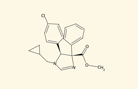 COC(=O)[C@@]1(c2ccccc2)N=CN(CC2CC2)[C@H]1c1ccc(Cl)cc1